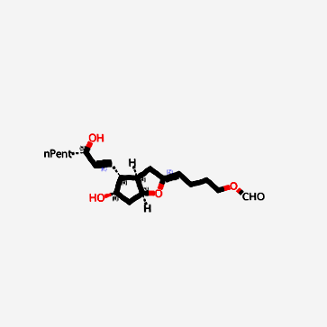 CCCCC[C@H](O)/C=C/[C@@H]1[C@H]2C/C(=C/CCCOC=O)O[C@H]2C[C@H]1O